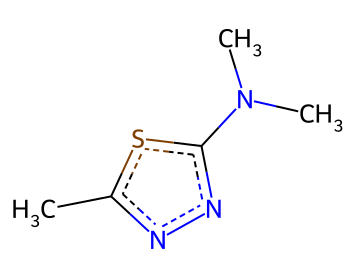 Cc1nnc(N(C)C)s1